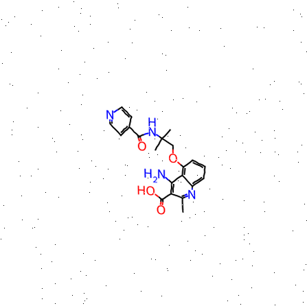 Cc1nc2cccc(OCC(C)(C)NC(=O)c3ccncc3)c2c(N)c1C(=O)O